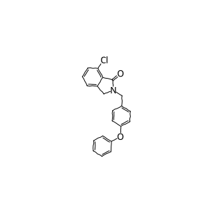 O=C1c2c(Cl)cccc2CN1Cc1ccc(Oc2ccccc2)cc1